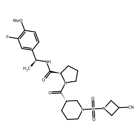 COc1ccc([C@H](C)NC(=O)[C@H]2CCCN2C(=O)[C@H]2CCCN(S(=O)(=O)N3CC(C#N)C3)C2)cc1F